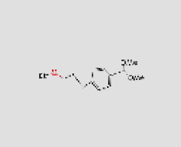 CCOCCCc1ccc(C(OC)OC)cc1